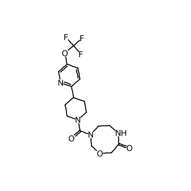 O=C1COCN(C(=O)N2CCC(c3ccc(OC(F)(F)F)cn3)CC2)CCN1